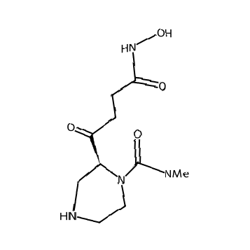 CNC(=O)N1CCNC[C@H]1C(=O)CCC(=O)NO